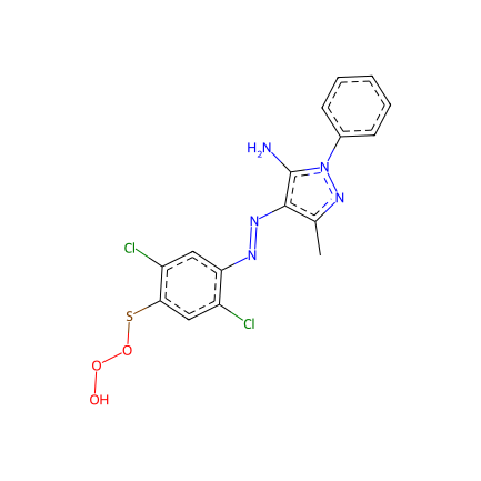 Cc1nn(-c2ccccc2)c(N)c1/N=N/c1cc(Cl)c(SOOO)cc1Cl